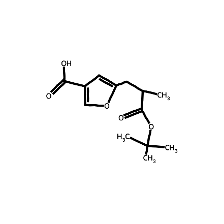 CC(Cc1cc(C(=O)O)co1)C(=O)OC(C)(C)C